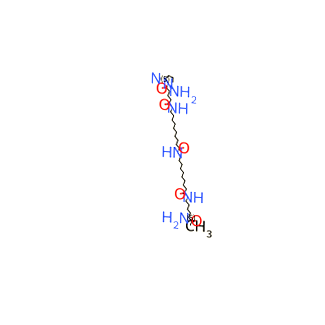 CC(=O)[C@@H](N)CCCCNC(=O)CCCCCCCCCNC(=O)CCCCCCCCCNC(=O)CCC(N)C(=O)N1CCC[C@H]1C#N